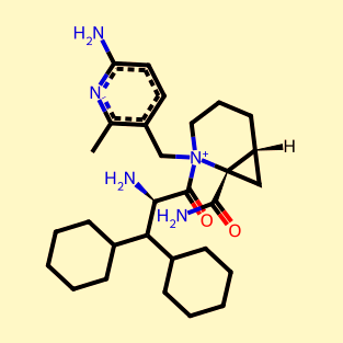 Cc1nc(N)ccc1C[N+]1(C(=O)[C@H](N)C(C2CCCCC2)C2CCCCC2)CCC[C@@H]2C[C@@]21C(N)=O